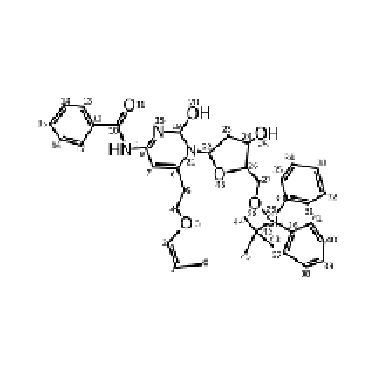 C/C=C\OCCC1=CC(NC(=O)c2ccccc2)=NC(O)N1[C@H]1CC(O)[C@@H](CO[Si](c2ccccc2)(c2ccccc2)C(C)(C)C)O1